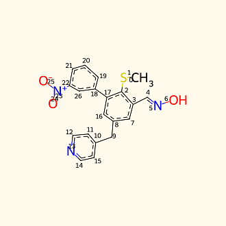 CSc1c(C=NO)cc(Cc2ccncc2)cc1-c1cccc([N+](=O)[O-])c1